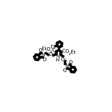 CCOC(=O)C1=C(COCCN2C(=O)c3ccccc3C2=O)NC(COCCN2C(=O)c3ccccc3C2=O)=C(C(=O)OCC)C1c1ccccc1Cl